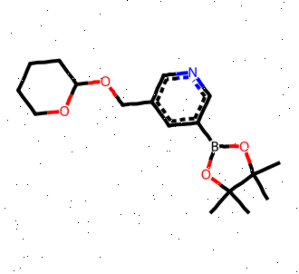 CC1(C)OB(c2cncc(COC3CCCCO3)c2)OC1(C)C